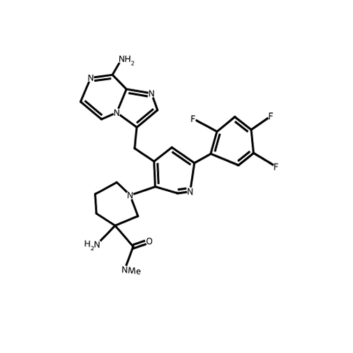 CNC(=O)C1(N)CCCN(c2cnc(-c3cc(F)c(F)cc3F)cc2Cc2cnc3c(N)nccn23)C1